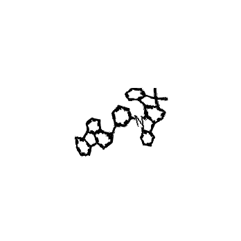 CC1(C)c2ccccc2-c2c1ccc1c3ccccc3n(-c3cccc(-c4ccc5c6c(cccc46)-c4ccccc4-5)c3)c21